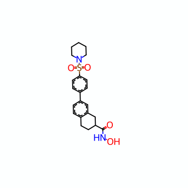 O=C(NO)C1CCc2ccc(-c3ccc(S(=O)(=O)N4CCCCC4)cc3)cc2C1